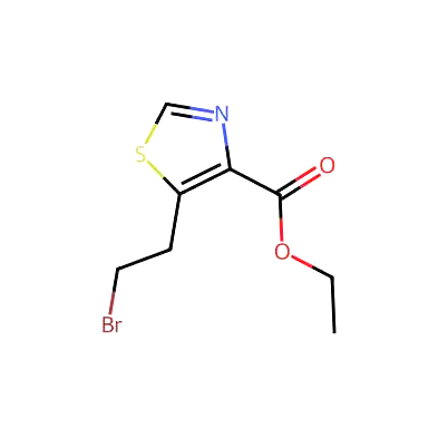 CCOC(=O)c1ncsc1CCBr